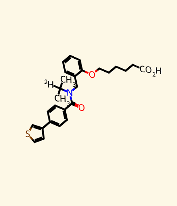 [2H]C(C)(C)N(Cc1ccccc1OCCCCCC(=O)O)C(=O)c1ccc(-c2ccsc2)cc1